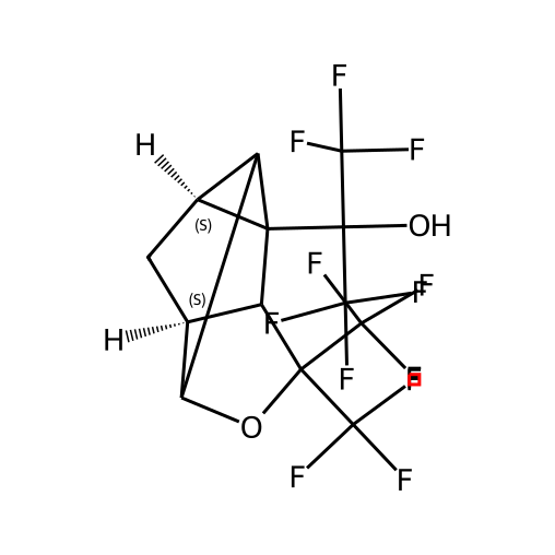 OC(C(F)(F)F)(C(F)(F)F)C12C3C4OC(C(F)(F)F)(C(F)(F)F)C1[C@@H]4C[C@@H]32